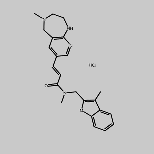 Cc1c(CN(C)C(=O)/C=C/c2cnc3c(c2)CN(C)CCN3)oc2ccccc12.Cl